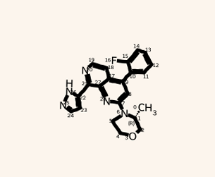 C[C@@H]1COCCN1c1cc(-c2ccccc2F)c2ccnc(-c3ccn[nH]3)c2n1